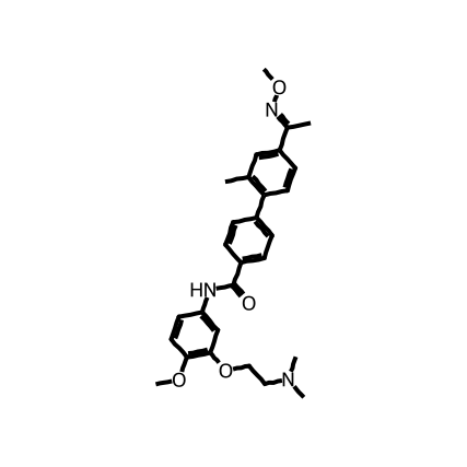 CON=C(C)c1ccc(-c2ccc(C(=O)Nc3ccc(OC)c(OCCN(C)C)c3)cc2)c(C)c1